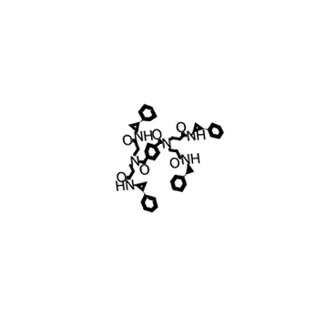 O=C(CCN(CCC(=O)N[C@H]1C[C@@H]1c1ccccc1)C(=O)c1ccc(C(=O)N(CCC(=O)N[C@H]2C[C@@H]2c2ccccc2)CCC(=O)N[C@H]2C[C@@H]2c2ccccc2)cc1)N[C@H]1C[C@@H]1c1ccccc1